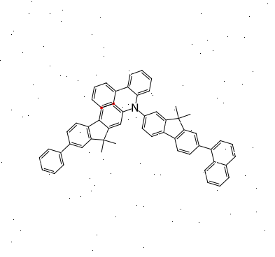 CC1(C)c2cc(-c3ccccc3)ccc2-c2ccc(N(c3ccc4c(c3)C(C)(C)c3cc(-c5cccc6ccccc56)ccc3-4)c3ccccc3-c3ccccc3)cc21